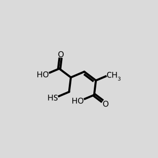 CC(=CC(CS)C(=O)O)C(=O)O